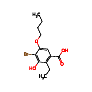 CCCCOc1cc(C(=O)O)c(CC)c(O)c1Br